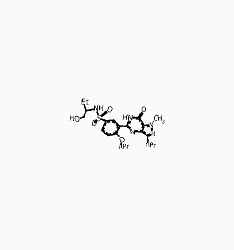 CCCOc1ccc(S(=O)(=O)NC(CC)CO)cc1-c1nc2c(CCC)nn(C)c2c(=O)[nH]1